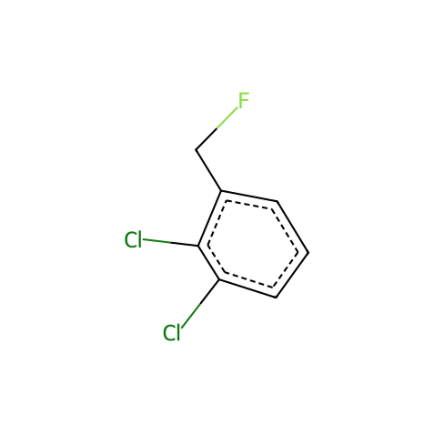 FCc1cccc(Cl)c1Cl